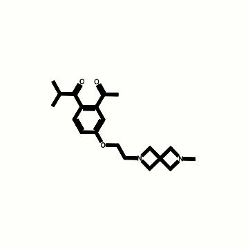 CC(=O)c1cc(OCCN2CC3(CN(C)C3)C2)ccc1C(=O)C(C)C